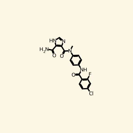 CN(C(=O)c1nc[nH]c1C(N)=O)c1ccc(NC(=O)c2ccc(Cl)cc2F)cc1